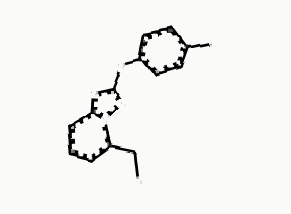 FC(F)(F)c1ccc(Nc2nc3cccc(CBr)n3n2)cc1